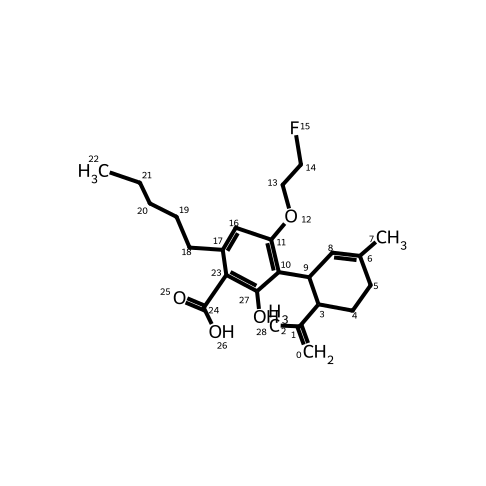 C=C(C)C1CCC(C)=CC1c1c(OCCF)cc(CCCCC)c(C(=O)O)c1O